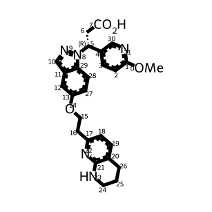 COc1ccc([C@@H](CC(=O)O)n2ncc3cc(OCCc4ccc5c(n4)NCCC5)ccc32)cn1